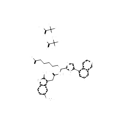 CCC(=O)CCCCC[C@H](NC(=O)Cc1c(C)[nH]c2ccc(OC)cc12)c1ncc(-c2cccc3cnccc23)[nH]1.O=C(O)C(F)(F)F.O=C(O)C(F)(F)F